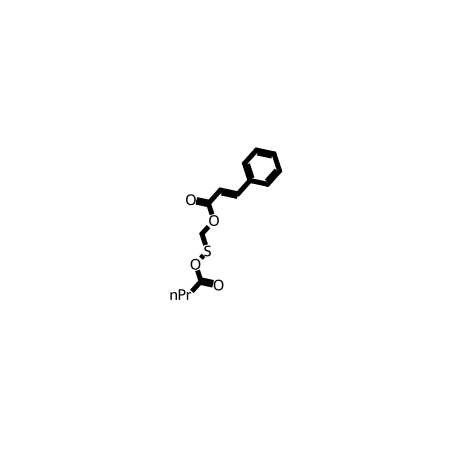 CCCC(=O)OSCOC(=O)C=Cc1ccccc1